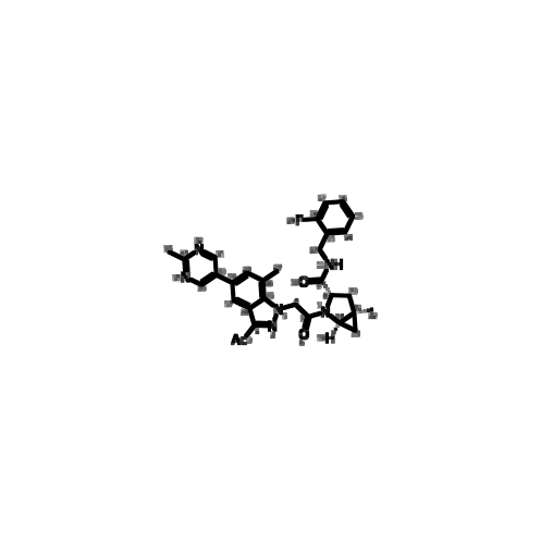 CC(=O)c1nn(CC(=O)N2[C@H](C(=O)NCc3ccccc3F)C[C@@]3(C)C[C@@H]23)c2c(C)cc(-c3cnc(C)nc3)cc12